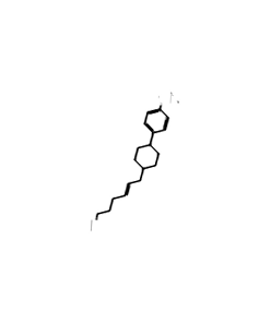 N#Cc1ccc(C2CCC(CC=CCCCF)CC2)cc1